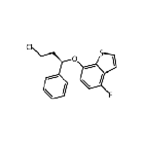 Fc1ccc(O[C@H](CCCl)c2ccccc2)c2sccc12